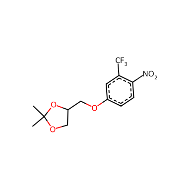 CC1(C)OCC(COc2ccc([N+](=O)[O-])c(C(F)(F)F)c2)O1